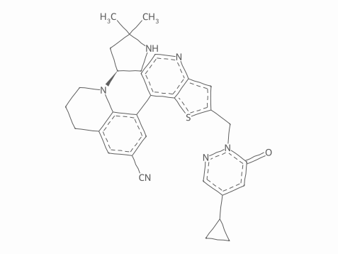 CC1(C)C[C@H](N2CCCc3cc(C#N)cc(-c4ccnc5cc(Cn6ncc(C7CC7)cc6=O)sc45)c32)CN1